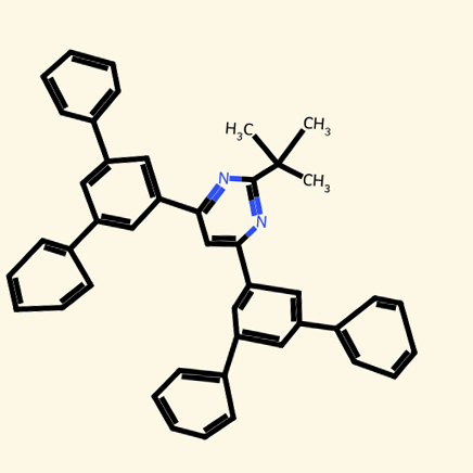 CC(C)(C)c1nc(-c2cc(-c3ccccc3)cc(-c3ccccc3)c2)cc(-c2cc(-c3ccccc3)cc(-c3ccccc3)c2)n1